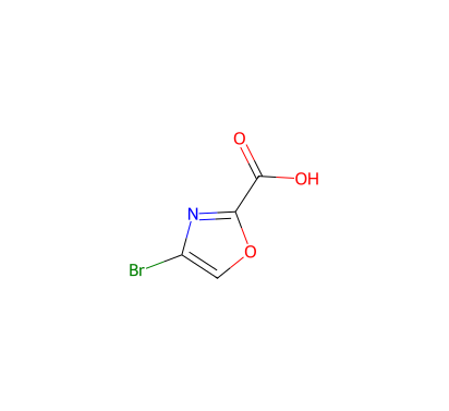 O=C(O)c1nc(Br)co1